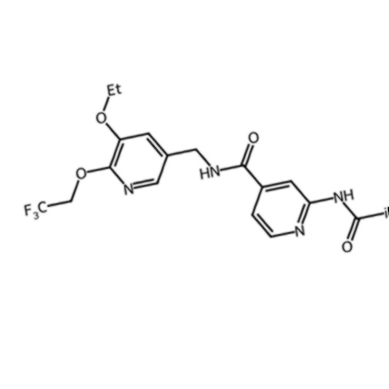 CCOc1cc(CNC(=O)c2ccnc(NC(=O)C(C)C)c2)cnc1OCC(F)(F)F